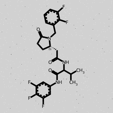 CC(C)C(NC(=O)C[C@@H]1CCC(=O)N1Cc1cccc(F)c1F)C(=O)Nc1cc(F)c(F)c(F)c1